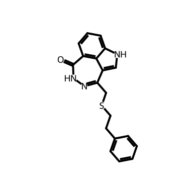 O=C1NN=C(CSCCc2ccccc2)c2c[nH]c3cccc1c23